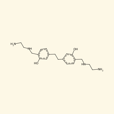 NCCNCc1ccc(CCc2ccc(CNCCN)c(O)c2)cc1O